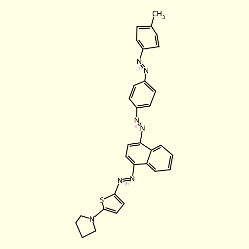 Cc1ccc(/N=N/c2ccc(/N=N/c3ccc(/N=N/c4ccc(N5CCCC5)s4)c4ccccc34)cc2)cc1